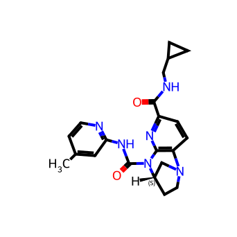 Cc1ccnc(NC(=O)N2c3nc(C(=O)NCC4CC4)ccc3N3CC[C@H]2C3)c1